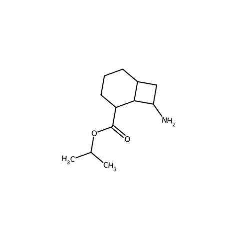 CC(C)OC(=O)C1CCCC2CC(N)C21